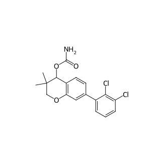 CC1(C)COc2cc(-c3cccc(Cl)c3Cl)ccc2C1OC(N)=O